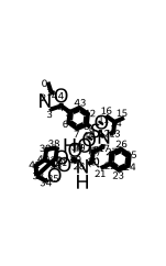 CC1=NCC(c2ccc(S(=O)(=O)N(CC(C)C)C[C@@H](O)[C@H](Cc3ccccc3)NC(=O)OC3C4COC5OC3CC5C4)cc2)O1